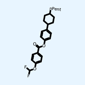 CCCCCC1CCC(c2ccc(OC(=O)c3ccc(OC(F)F)cc3)cc2)CC1